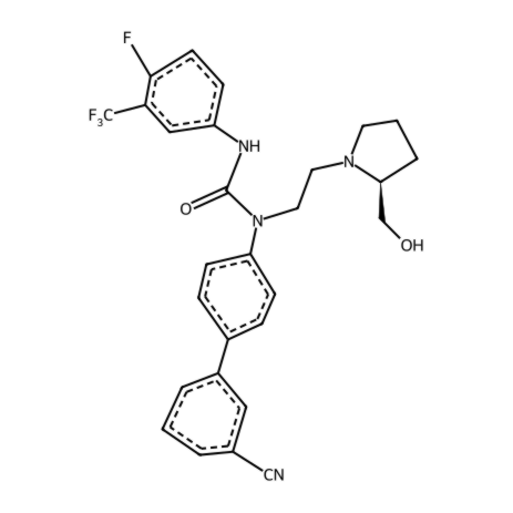 N#Cc1cccc(-c2ccc(N(CCN3CCC[C@H]3CO)C(=O)Nc3ccc(F)c(C(F)(F)F)c3)cc2)c1